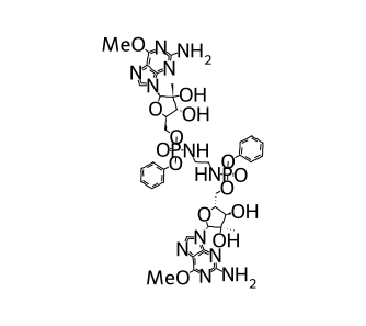 COc1nc(N)nc2c1ncn2[C@@H]1O[C@H](COP(=O)(NCCNP(=O)(OC[C@H]2O[C@@H](n3cnc4c(OC)nc(N)nc43)[C@](C)(O)[C@@H]2O)Oc2ccccc2)Oc2ccccc2)[C@@H](O)[C@@]1(C)O